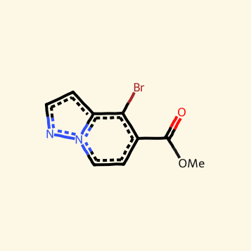 COC(=O)c1ccn2nccc2c1Br